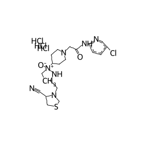 CC[N+]([O-])(NCCN1CSCC1C#N)C1CCN(CC(=O)Nc2ccc(Cl)cn2)CC1.Cl.Cl.Cl